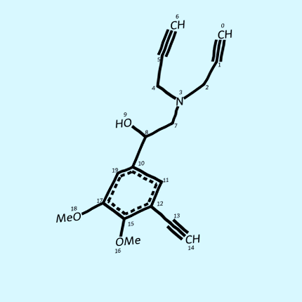 C#CCN(CC#C)CC(O)c1cc(C#C)c(OC)c(OC)c1